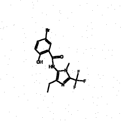 CCc1nc(C(F)(F)F)n(C)c1NC(=O)c1cc(Br)ccc1O